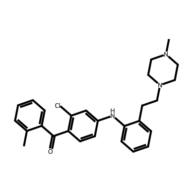 Cc1ccccc1C(=O)c1ccc(Nc2ccccc2CCN2CCN(C)CC2)cc1Cl